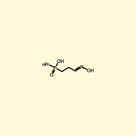 CCCP(=O)(O)CCC=NO